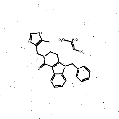 Cc1[nH]cnc1CN1CCc2c(c3ccccc3n2Cc2ccccc2)C1=O.O.O=C(O)C=CC(=O)O